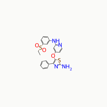 CCS(=O)(=O)c1cccc(Nc2cc(Oc3sc(N)nc3-c3ccccc3)ccn2)c1